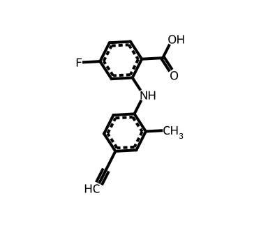 C#Cc1ccc(Nc2cc(F)ccc2C(=O)O)c(C)c1